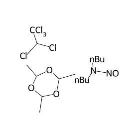 CC1OC(C)OC(C)O1.CCCCN(CCCC)N=O.ClC(Cl)C(Cl)(Cl)Cl